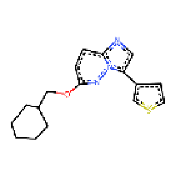 c1cc(-c2cnc3ccc(OCC4CCCCC4)nn23)cs1